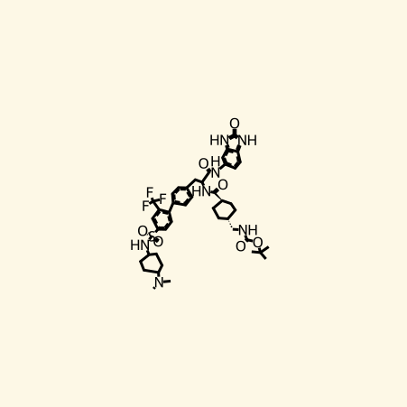 CN(C)C1CCC(NS(=O)(=O)c2ccc(-c3ccc(CC(NC(=O)[C@H]4CC[C@H](CNC(=O)OC(C)(C)C)CC4)C(=O)Nc4ccc5[nH]c(=O)[nH]c5c4)cc3)c(C(F)(F)F)c2)CC1